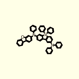 c1ccc(N(c2ccccc2)c2ccc3c(c2)-c2ccc(N(c4ccccc4)c4ccc5c(c4)oc4ccccc45)cc2[Si]3(c2ccccc2)c2ccccc2)cc1